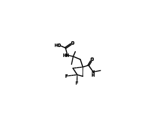 CNC(=O)C1(CC(C)(C)NC(=O)O)CC(F)(F)C1